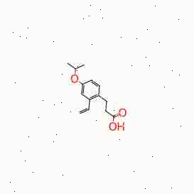 C=Cc1cc(OC(C)C)ccc1CCC(=O)O